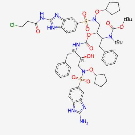 CC(C)(C)OC(=O)N(C(Cc1ccccc1)C(CN(OC1CCCC1)S(=O)(=O)c1ccc2[nH]c(NC(=O)CCCl)nc2c1)OC(=O)N[C@@H](Cc1ccccc1)[C@@H](O)CN(OC1CCCC1)S(=O)(=O)c1ccc2[nH]c(N)nc2c1)C(C)(C)C